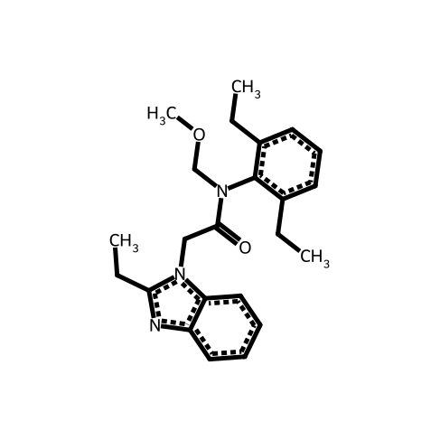 CCc1cccc(CC)c1N(COC)C(=O)Cn1c(CC)nc2ccccc21